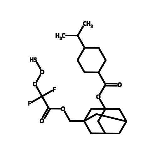 CC(C)C1CCC(C(=O)OC23CC4CC(CC(COC(=O)C(F)(F)OOS)(C4)C2)C3)CC1